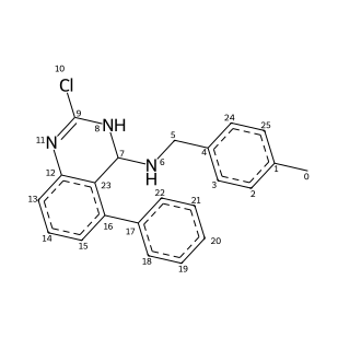 Cc1ccc(CNC2NC(Cl)=Nc3cccc(-c4ccccc4)c32)cc1